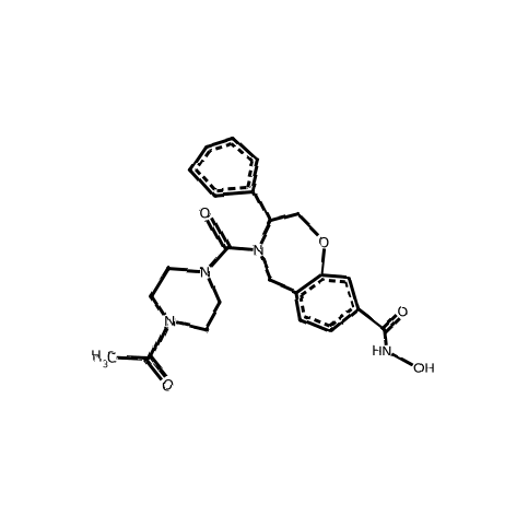 CC(=O)N1CCN(C(=O)N2Cc3ccc(C(=O)NO)cc3OCC2c2ccccc2)CC1